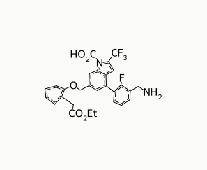 CCOC(=O)Cc1ccccc1OCc1cc(-c2cccc(CN)c2F)c2cc(C(F)(F)F)n(C(=O)O)c2c1